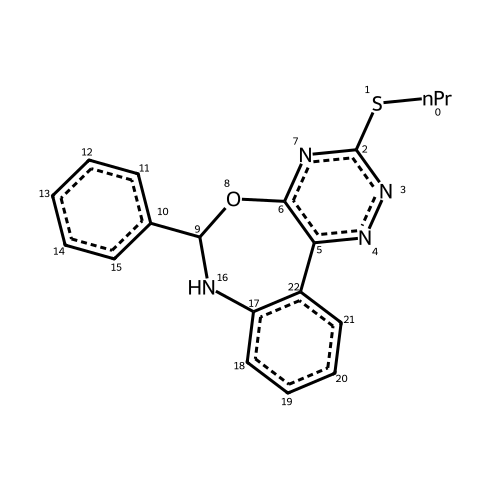 CCCSc1nnc2c(n1)OC(c1ccccc1)Nc1ccccc1-2